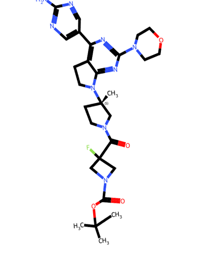 CC(C)(C)OC(=O)N1CC(F)(C(=O)N2CC[C@](C)(N3CCc4c(-c5cnc(N)nc5)nc(N5CCOCC5)nc43)C2)C1